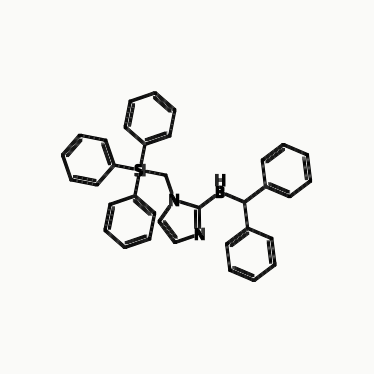 B(c1nccn1C[Si](c1ccccc1)(c1ccccc1)c1ccccc1)C(c1ccccc1)c1ccccc1